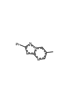 Cc1cnc2nc(C(C)C)nn2c1